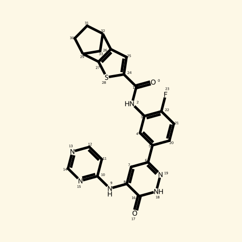 O=C(Nc1cc(-c2cc(Nc3ccncn3)c(=O)[nH]n2)ccc1F)c1cc2c(s1)C1CCC2C1